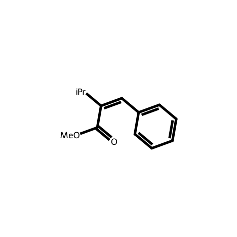 COC(=O)/C(=C\c1ccccc1)C(C)C